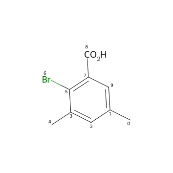 Cc1cc(C)c(Br)c(C(=O)O)c1